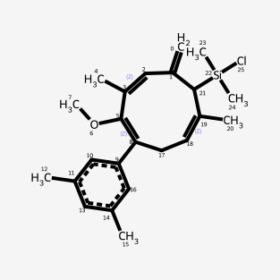 C=C1/C=C(C)\C(OC)=C(\c2cc(C)cc(C)c2)C/C=C(/C)C1[Si](C)(C)Cl